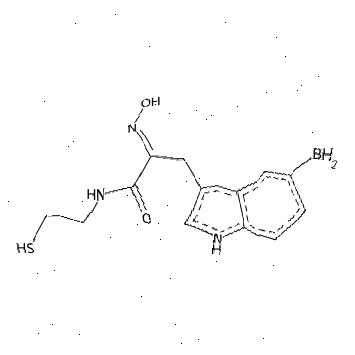 Bc1ccc2[nH]cc(C/C(=N\O)C(=O)NCCS)c2c1